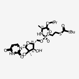 CC(C)OC(=O)[C@H](C)NP(=O)(OCCSC(=O)C(C)(C)C)OC[C@H]1O[C@@H](n2ccc(=O)[nH]c2=O)[C@](C)(Cl)[C@@H]1O